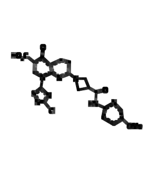 COc1ccc(NC(=O)C2CN(c3ccc4c(=O)c(C(=O)O)cn(-c5nc(Cl)ns5)c4n3)C2)nc1